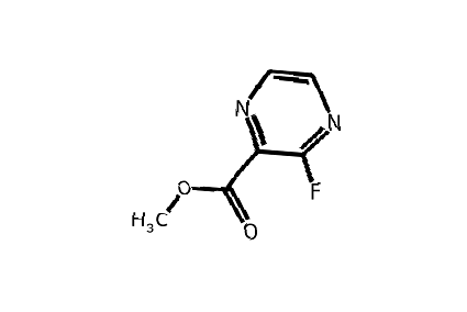 COC(=O)c1nccnc1F